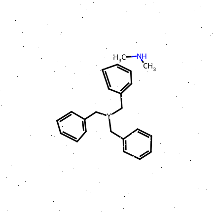 CNC.c1ccc([CH2][Y]([CH2]c2ccccc2)[CH2]c2ccccc2)cc1